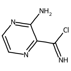 N=C(Cl)c1nccnc1N